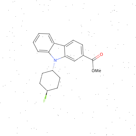 COC(=O)c1ccc2c3ccccc3n([C@H]3CC[C@H](F)CC3)c2c1